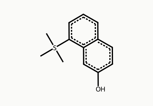 CS(C)(C)c1cccc2ccc(O)cc12